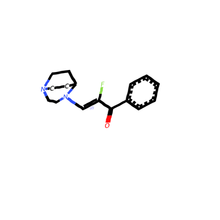 O=C(/C(F)=C/N1CCN2CCC1CC2)c1ccccc1